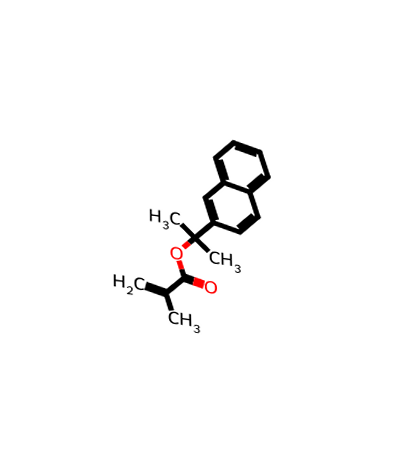 C=C(C)C(=O)OC(C)(C)c1ccc2ccccc2c1